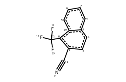 N#Cc1ccc2ccccc2c1C(F)(F)F